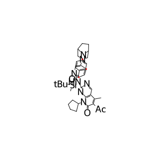 CC(=O)c1c(C)c2cnc(Nc3ccc(N4CC5CCC(C4)N5c4ccc(CO[Si](C)(C)C(C)(C)C)cc4)cn3)nc2n(C2CCCC2)c1=O